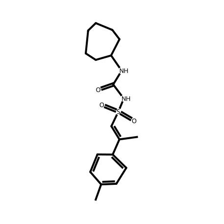 C/C(=C\S(=O)(=O)NC(=O)NC1CCCCCC1)c1ccc(C)cc1